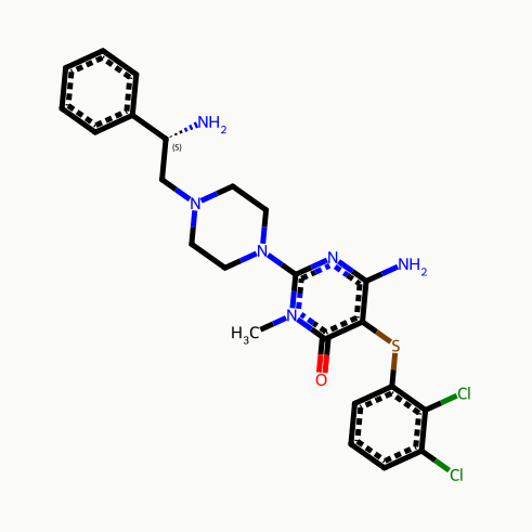 Cn1c(N2CCN(C[C@@H](N)c3ccccc3)CC2)nc(N)c(Sc2cccc(Cl)c2Cl)c1=O